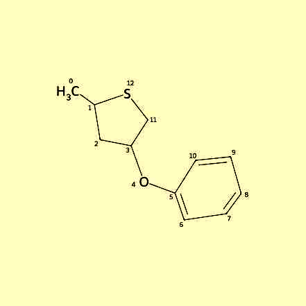 CC1CC(Oc2ccccc2)CS1